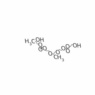 CC(O)COC(=O)OCCOC(C)COCCOC(=O)OCCO